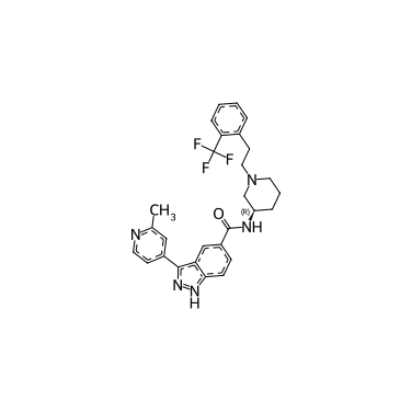 Cc1cc(-c2n[nH]c3ccc(C(=O)N[C@@H]4CCCN(CCc5ccccc5C(F)(F)F)C4)cc23)ccn1